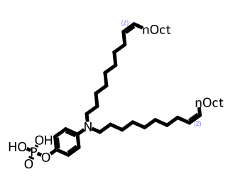 CCCCCCCC/C=C\CCCCCCCCN(CCCCCCCC/C=C\CCCCCCCC)c1ccc(OP(=O)(O)O)cc1